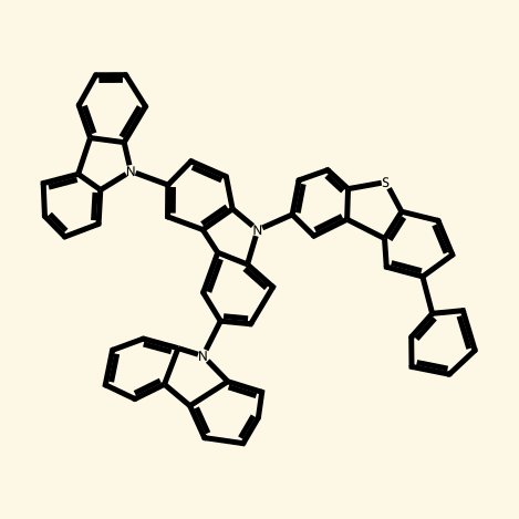 c1ccc(-c2ccc3sc4ccc(-n5c6ccc(-n7c8ccccc8c8ccccc87)cc6c6cc(-n7c8ccccc8c8ccccc87)ccc65)cc4c3c2)cc1